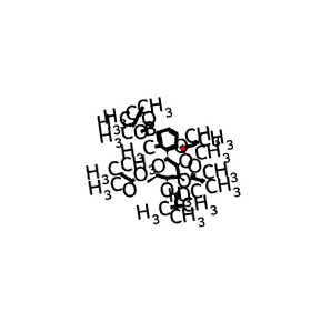 Cc1c(B2OC(C)(C)C(C)(C)O2)cccc1[C@H]1O[C@H](COC(=O)C(C)(C)C)[C@@H](OC(=O)C(C)(C)C)[C@H](OC(=O)C(C)(C)C)[C@@H]1OC(=O)C(C)(C)C